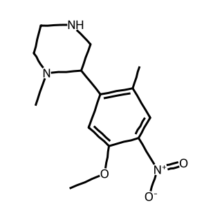 COc1cc(C2CNCCN2C)c(C)cc1[N+](=O)[O-]